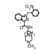 CN1CC2CC(NC(=O)c3nn(Cc4ccccc4[N+](=O)[O-])c4ccccc34)CC(C1)N2C